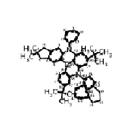 CC1(C)Cc2cc3c(cc2C1)N(c1ccccc1)c1cc(C(C)(C)C)cc2c1B3c1ccc(C(C)(C)C)cc1N2c1ccc2c3c(cccc13)CCC2